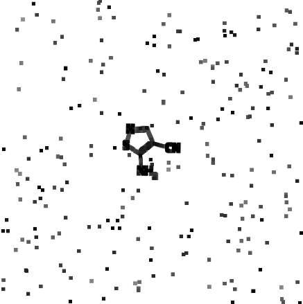 N#Cc1cnsc1N